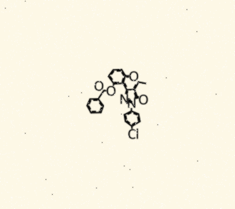 Cc1oc2cccc(OC(=O)c3ccccc3)c2c2nn(-c3ccc(Cl)cc3)c(=O)c1-2